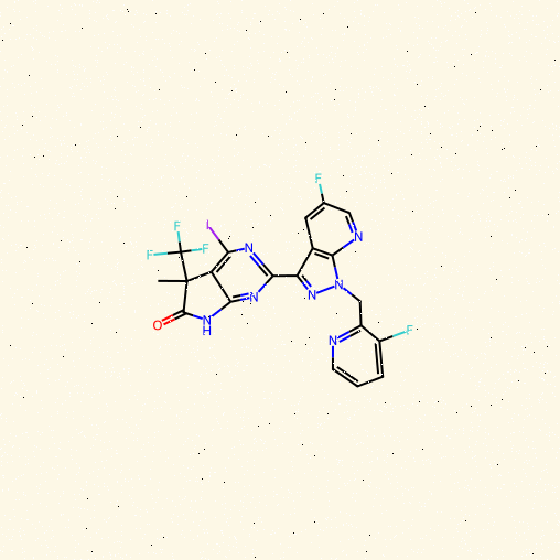 CC1(C(F)(F)F)C(=O)Nc2nc(-c3nn(Cc4ncccc4F)c4ncc(F)cc34)nc(I)c21